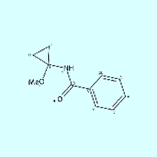 COC1(NC(=O)c2ccccc2)CC1